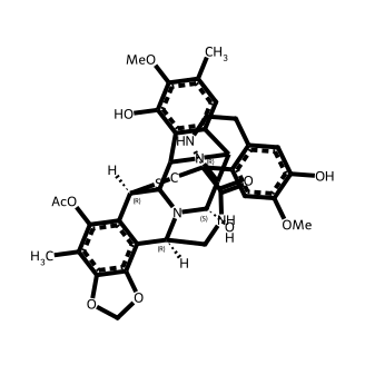 COc1cc2c(cc1O)CCN[C@]21CS[C@@H]2c3c(OC(C)=O)c(C)c4c(c3[C@H](CNC1=O)N1C2C2c3c(cc(C)c(OC)c3O)C3C([C@@H]1O)N32)OCO4